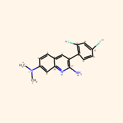 CN(C)c1ccc2cc(-c3ccc(F)cc3F)c(N)nc2c1